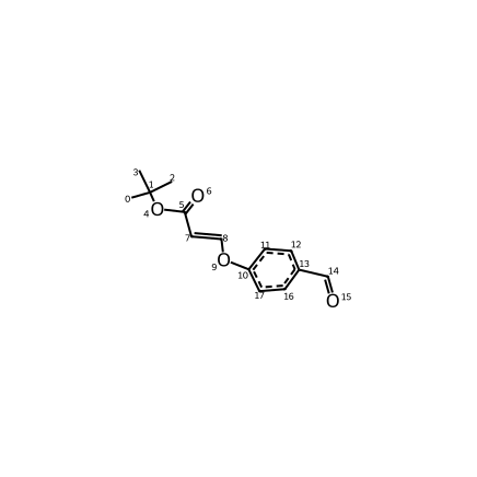 CC(C)(C)OC(=O)C=COc1ccc(C=O)cc1